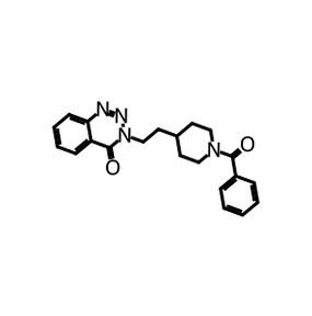 O=C(c1ccccc1)N1CCC(CCn2nnc3ccccc3c2=O)CC1